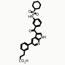 O=C(O)CCc1cccc(-c2cnc3[nH]cc(C(=O)c4cccc(NS(=O)(=O)C5CCCCC5)c4)c3c2)c1